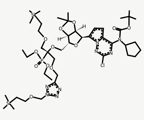 CCOP(=O)(OCC)[C@@](COCC[Si](C)(C)C)(COCc1nnn(COCC[Si](C)(C)C)n1)OC[C@H]1O[C@H](c2ccc3c(N(C(=O)OC(C)(C)C)C4CCCC4)nc(Cl)nn23)[C@@H]2OC(C)(C)O[C@@H]21